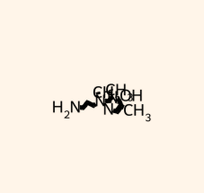 CC1=CN=C(N(C)CCCN)N(C)C1O